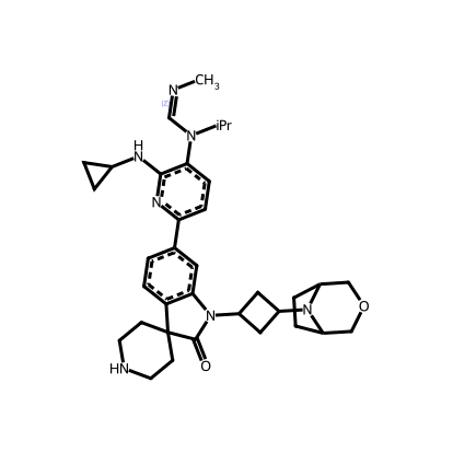 C/N=C\N(c1ccc(-c2ccc3c(c2)N(C2CC(N4C5CCC4COC5)C2)C(=O)C32CCNCC2)nc1NC1CC1)C(C)C